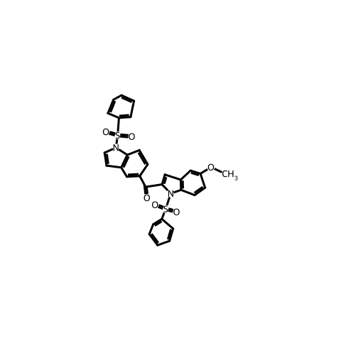 COc1ccc2c(c1)cc(C(=O)c1ccc3c(ccn3S(=O)(=O)c3ccccc3)c1)n2S(=O)(=O)c1ccccc1